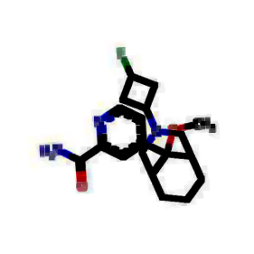 COC1(c2ccnc(C(N)=O)c2)C2CCCC1CN(C1CC(F)C1)C2